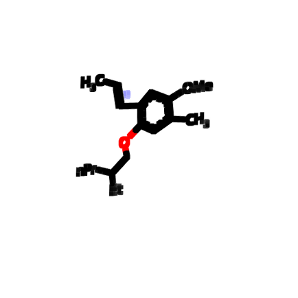 C/C=C/c1cc(OC)c(C)cc1OCC(CC)CCC